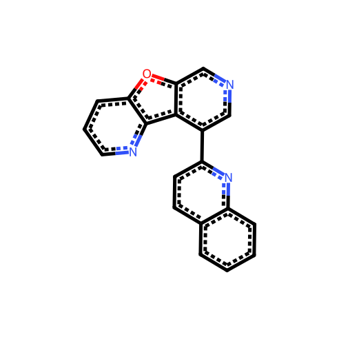 c1ccc2nc(-c3cncc4oc5cccnc5c34)ccc2c1